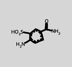 NC(=O)c1ccc(N)c(S(=O)(=O)O)c1